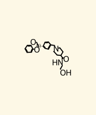 O=C(NCCO)C1CCN(Cc2ccc([C@H]3COc4ccccc4O3)cc2)CC1